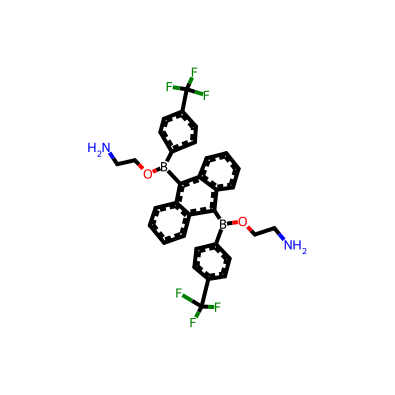 NCCOB(c1ccc(C(F)(F)F)cc1)c1c2ccccc2c(B(OCCN)c2ccc(C(F)(F)F)cc2)c2ccccc12